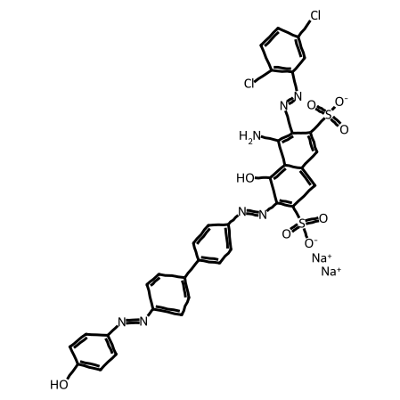 Nc1c(N=Nc2cc(Cl)ccc2Cl)c(S(=O)(=O)[O-])cc2cc(S(=O)(=O)[O-])c(N=Nc3ccc(-c4ccc(N=Nc5ccc(O)cc5)cc4)cc3)c(O)c12.[Na+].[Na+]